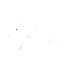 FCOC(F)=C(F)C(F)(F)F